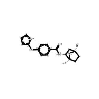 O=C(N[C@@H]1C[C@H]2CC[C@@H]1N2)c1ccc(Sc2cccs2)cc1